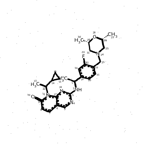 CC(Nc1ncc2ccc(=O)n(C(C)C3CC3)c2n1)c1ccc(CN2C[C@@H](C)O[C@@H](C)C2)c(F)c1